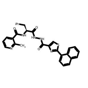 Cc1ncccc1C(=O)N[C@@H](CC(C)C)C(=O)NNC(=O)c1csc(-c2cccc3ccccc23)n1